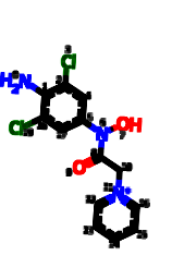 Nc1c(Cl)cc(N(O)C(=O)C[n+]2ccccc2)cc1Cl